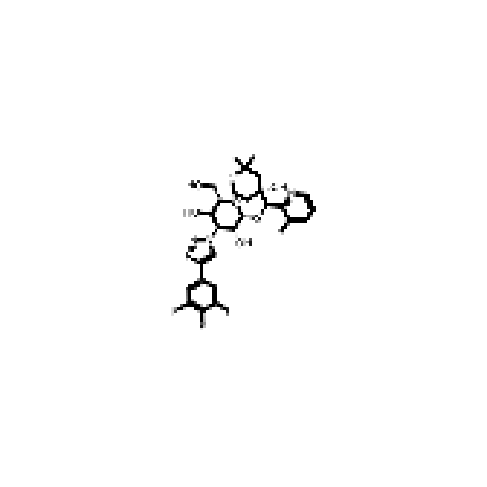 Cc1cccnc1[C@@H](S[C@@H]1O[C@H](CO)[C@H](O)[C@H](n2cc(-c3cc(F)c(F)c(F)c3)nn2)[C@H]1O)[C@@]1(O)CCOC(C)(C)C1